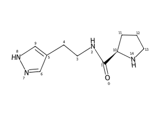 O=C(NCCc1cn[nH]c1)[C@H]1CCCN1